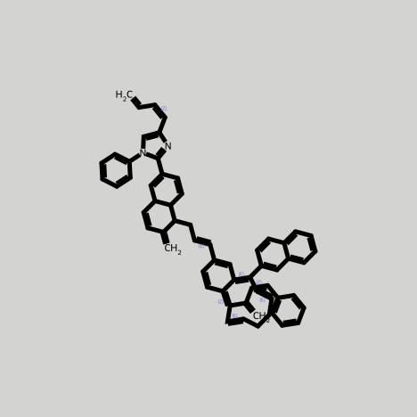 C=C/C=C\c1cn(-c2ccccc2)c(C2=CC3C=CC(=C)C(C/C=C/c4ccc5/c(c4)=C(c4ccc6ccccc6c4)\C=C\CC/C=C/C=5C(=C)/C=C\c4ccccc4)C3C=C2)n1